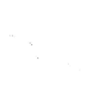 COc1ccccc1NC(=O)Nc1ccc2c(c1)CCN(C(=O)O)C2